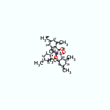 Cc1ccc(CP(=O)(C(=O)c2c(C)cc(C)cc2C)C(=O)c2c(C)cc(C)cc2C)cc1